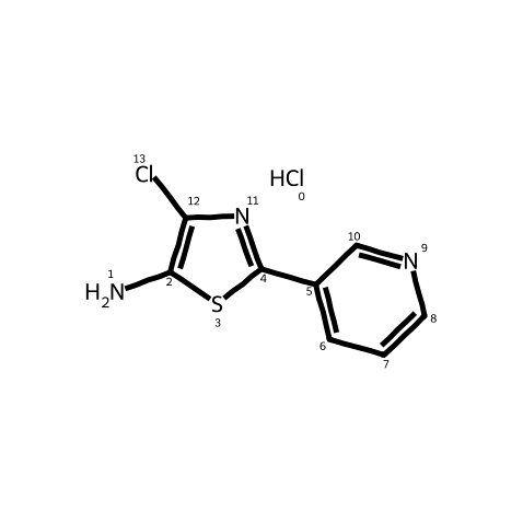 Cl.Nc1sc(-c2cccnc2)nc1Cl